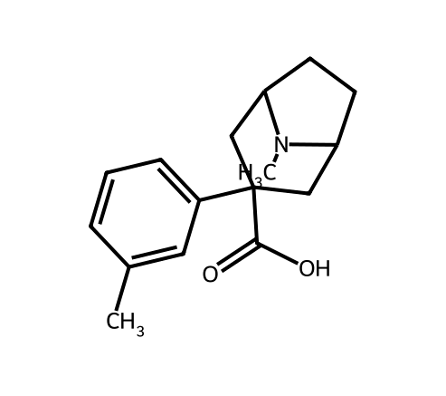 Cc1cccc(C2(C(=O)O)CC3CCC(C2)N3C)c1